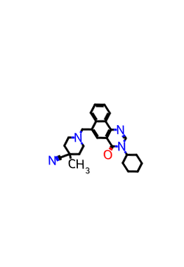 CC1(C#N)CCN(Cc2cc3c(=O)n(C4CCCCC4)cnc3c3ccccc23)CC1